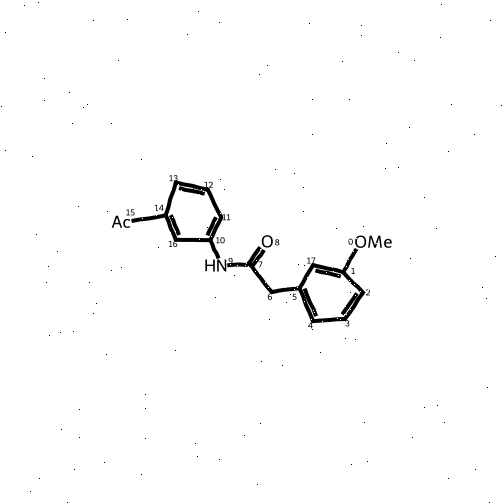 COc1cccc(CC(=O)Nc2cccc(C(C)=O)c2)c1